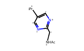 CC(=O)NCc1ncc(C(C)C)cn1